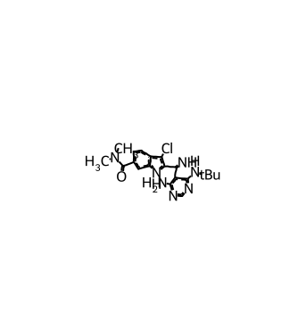 CN(C)C(=O)c1ccc2c(Cl)c(C(=N)c3c(N)ncnc3NC(C)(C)C)[nH]c2c1